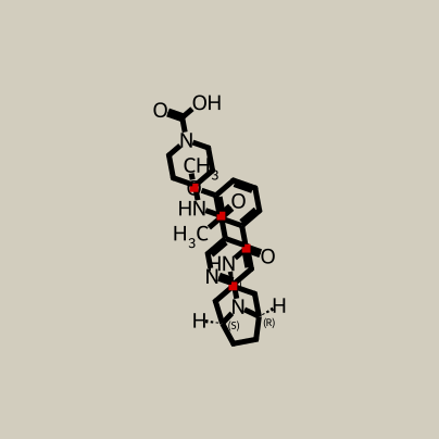 COc1cccc(C(=O)N[C@H]2C[C@H]3CC[C@@H](C2)N3c2ccc(C(=O)NC3CCN(C(=O)O)CC3)cn2)c1C